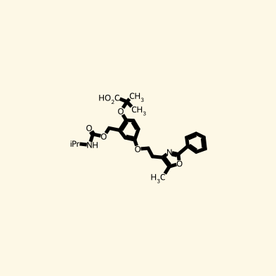 Cc1oc(-c2ccccc2)nc1CCOc1ccc(OC(C)(C)C(=O)O)c(COC(=O)NC(C)C)c1